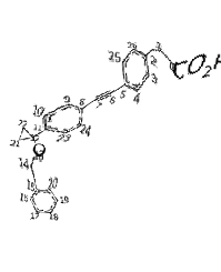 O=C(O)Cc1ccc(C#Cc2ccc(C3(OCc4ccccc4)CC3)cc2)cc1